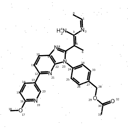 C/C=N\C(N)=C(/C)c1nc2ccc(-c3ccc(OC)nc3)nc2n1-c1ccc(COC(C)=O)cc1